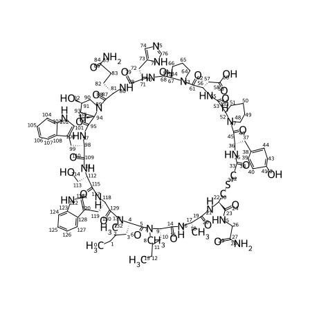 CCCC[C@H]1C(=O)N(C)[C@@H](CCCC)C(=O)N[C@@H](C)C(=O)N[C@H](C(=O)NCC(N)=O)CSCC(=O)N[C@@H](Cc2ccc(O)cc2)C(=O)N2CCCC[C@H]2C(=O)N[C@@H](CC(=O)O)C(=O)N2CCC[C@H]2C(=O)N[C@@H](Cc2cnc[nH]2)C(=O)N[C@@H](CCC(N)=O)C(=O)N2C[C@H](O)C[C@H]2C(=O)N[C@@H](Cc2c[nH]c3ccccc23)C(=O)N[C@@H](CO)C(=O)N[C@@H](Cc2c[nH]c3ccccc23)C(=O)N1C